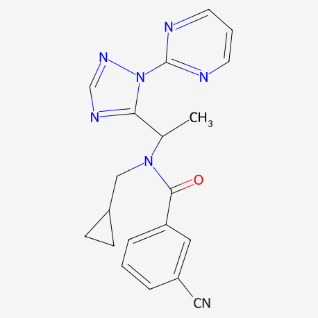 CC(c1ncnn1-c1ncccn1)N(CC1CC1)C(=O)c1cccc(C#N)c1